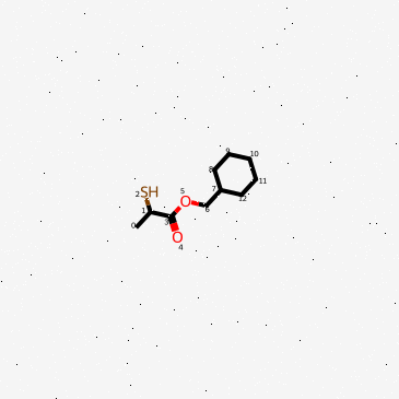 CC(S)C(=O)OCC1CCCCC1